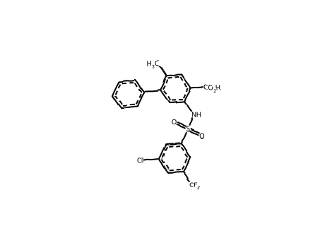 Cc1cc(C(=O)O)c(NS(=O)(=O)c2cc(Cl)cc(C(F)(F)F)c2)cc1-c1ccccc1